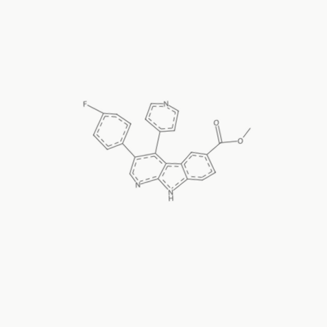 COC(=O)c1ccc2[nH]c3ncc(-c4ccc(F)cc4)c(-c4ccncc4)c3c2c1